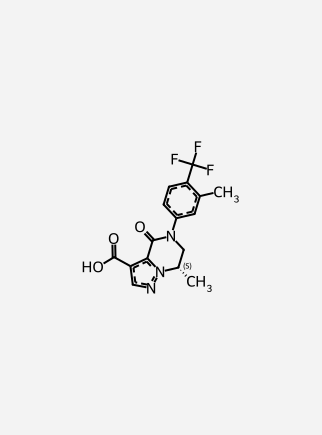 Cc1cc(N2C[C@H](C)n3ncc(C(=O)O)c3C2=O)ccc1C(F)(F)F